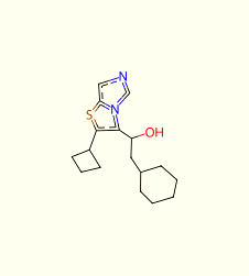 OC(CC1CCCCC1)c1c(C2CCC2)sc2cncn12